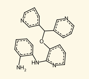 Nc1ccccc1Nc1ncccc1OC(c1cccnc1)c1cccnc1